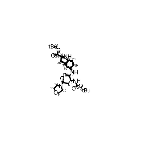 CC(C)(C)OC(=O)N[C@@H](CC(=O)N1CCOCC1)C(=O)Nc1ccc2[nH]c(C(=O)OC(C)(C)C)cc2c1